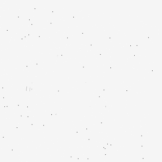 COc1ccc(O)c(I)c1